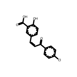 O=C(/C=C\c1ccc(O)c(C(=O)O)c1)c1ccc(Cl)cc1